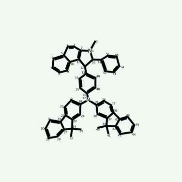 CN1c2ccc3ccccc3c2C(c2ccc(N(c3ccc4c(c3)C(C)(C)c3ccccc3-4)c3ccc4c(c3)C(C)(C)c3ccccc3-4)cc2)C1c1ccccc1